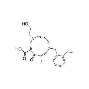 CCc1ccccc1Cc1cccn(CCO)cc(C(=O)O)c(=O)c(C)c1